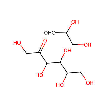 O=C(CO)C(O)C(O)C(O)CO.O=CC(O)CO